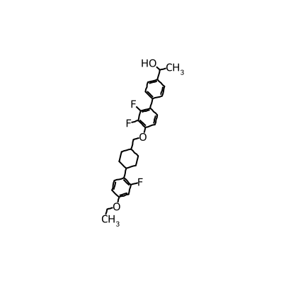 CCOc1ccc(C2CCC(COc3ccc(-c4ccc(C(C)O)cc4)c(F)c3F)CC2)c(F)c1